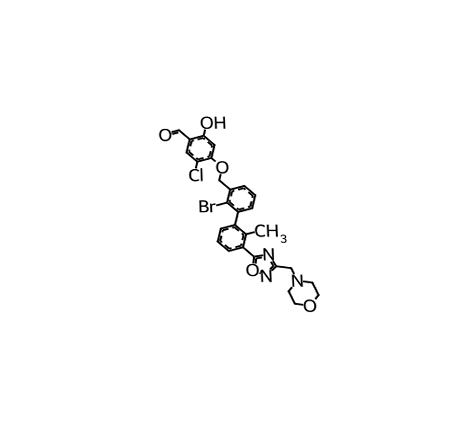 Cc1c(-c2nc(CN3CCOCC3)no2)cccc1-c1cccc(COc2cc(O)c(C=O)cc2Cl)c1Br